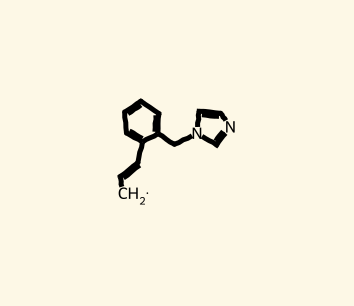 [CH2]C=Cc1ccccc1Cn1ccnc1